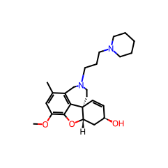 COc1cc(C)c2c3c1O[C@H]1C[C@H](O)C=C[C@]31CCN(CCCN1CCCCC1)C2